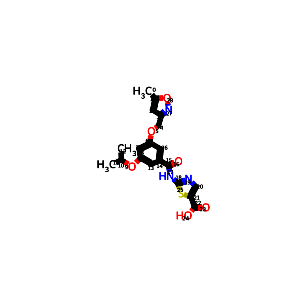 Cc1cc(COc2cc(OC(C)C)cc(C(=O)Nc3ncc(C(=O)O)s3)c2)no1